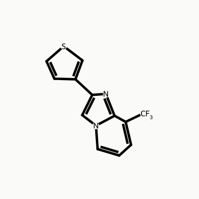 FC(F)(F)c1cccn2cc(-c3ccsc3)nc12